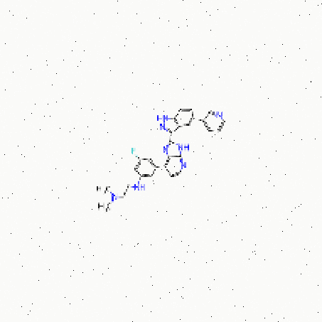 CN(C)CCNc1cc(F)cc(-c2ccnc3[nH]c(-c4n[nH]c5ccc(-c6cccnc6)cc45)nc23)c1